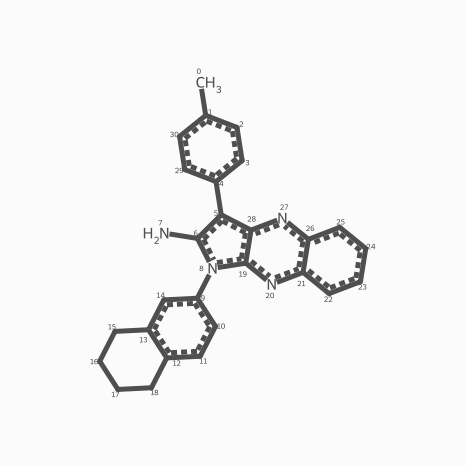 Cc1ccc(-c2c(N)n(-c3ccc4c(c3)CCCC4)c3nc4ccccc4nc23)cc1